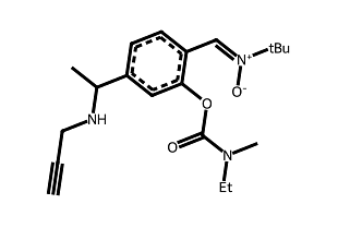 C#CCNC(C)c1ccc(/C=[N+](\[O-])C(C)(C)C)c(OC(=O)N(C)CC)c1